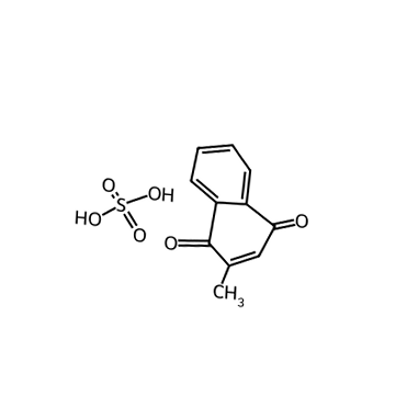 CC1=CC(=O)c2ccccc2C1=O.O=S(=O)(O)O